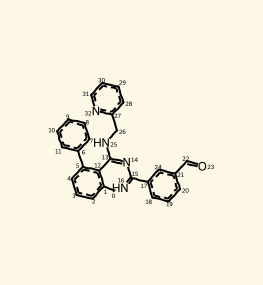 Cc1cccc(-c2ccccc2)c1/C(=N\C(=N)c1cccc(C=O)c1)NCc1ccccn1